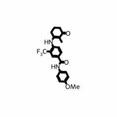 COc1ccc(NC(=O)c2ccc(NC3=C(C)C(=O)CCC3)c(C(F)(F)F)c2)cc1